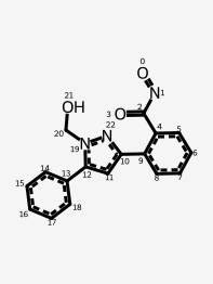 O=NC(=O)c1ccccc1-c1cc(-c2ccccc2)n(CO)n1